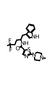 CN1CCN(c2ncc(C(=O)NC(CCC(C)(F)F)Cc3c[nH]c4ccccc34)s2)CC1